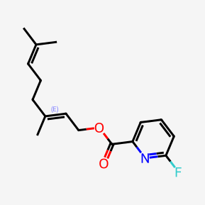 CC(C)=CCC/C(C)=C/COC(=O)c1cccc(F)n1